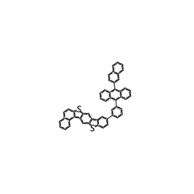 c1cc(-c2ccc3sc4cc5c(cc4c3c2)sc2ccc3ccccc3c25)cc(-c2c3ccccc3c(-c3ccc4ccccc4c3)c3ccccc23)c1